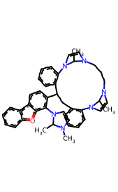 CC1N(C)C=CN1c1c(C2Cc3ccccc3N3C=CN(CCCN4C=CN(c5ccccc52)C4C)C3C)ccc2c1oc1ccccc12